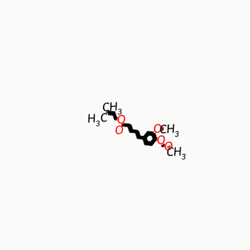 COCOc1ccc(/C=C/C=C/C(=O)OCC=C(C)C)cc1OC